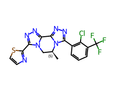 C[C@H]1Cn2c(-c3nccs3)nnc2-c2nnc(-c3cccc(C(F)(F)F)c3Cl)n21